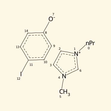 CCC[n+]1ccn(C)c1.[O-]c1ccc(I)cc1